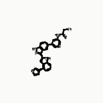 CC(C)CC(=O)Nc1cncc(-c2ccc3[nH]nc(-c4cc5c(-c6ccoc6)cccc5[nH]4)c3c2)c1